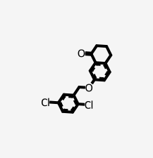 O=C1CCCc2ccc(OCc3cc(Cl)ccc3Cl)cc21